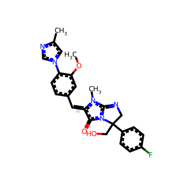 COc1cc(/C=c2/c(=O)n3c(n2C)=NCC3(CO)c2ccc(F)cc2)ccc1-n1cnc(C)c1